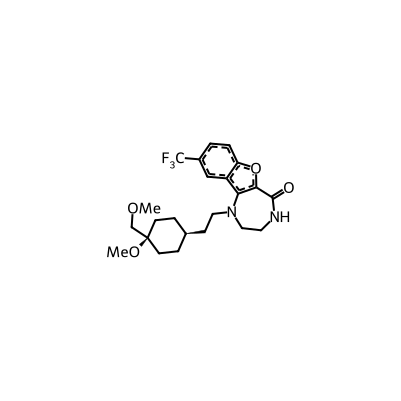 COC[C@]1(OC)CC[C@@H](CCN2CCNC(=O)c3oc4ccc(C(F)(F)F)cc4c32)CC1